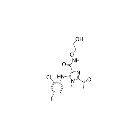 CC(=O)c1nc(C(=O)NOCCO)c(Nc2ccc(I)cc2Cl)n1C